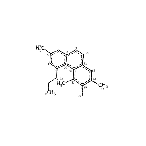 CCCc1cc(C)cc2ccc3cc(C)c(I)c(C)c3c12